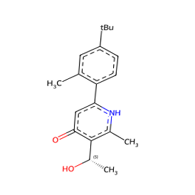 Cc1cc(C(C)(C)C)ccc1-c1cc(=O)c([C@H](C)O)c(C)[nH]1